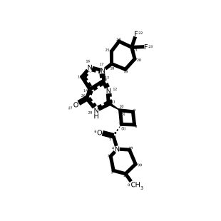 CC1CCN(C(=O)[C@H]2CC[C@@H]2c2nc3c(cnn3C3CCC(F)(F)CC3)c(=O)[nH]2)CC1